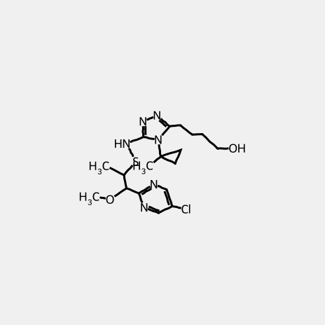 COC(c1ncc(Cl)cn1)C(C)SNc1nnc(CCCCO)n1C1(C)CC1